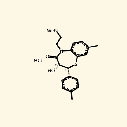 CNCCN1C(=O)[C@@H](O)[C@@H](c2ccc(C)cc2)Sc2cc(C)ccc21.Cl